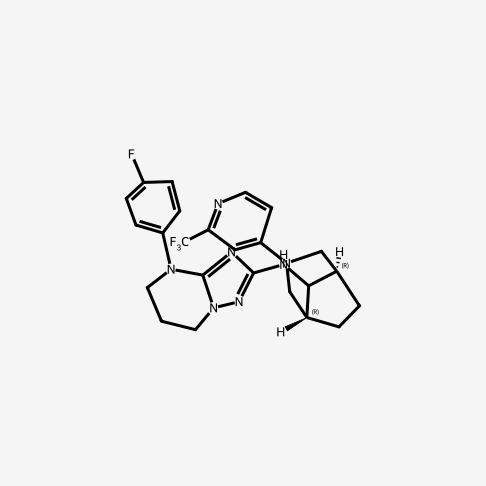 Fc1ccc(N2CCCn3nc(NC4[C@@H]5CC[C@@H]4CN(c4ccnc(C(F)(F)F)c4)C5)nc32)cc1